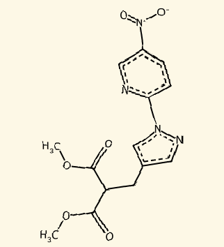 COC(=O)C(Cc1cnn(-c2ccc([N+](=O)[O-])cn2)c1)C(=O)OC